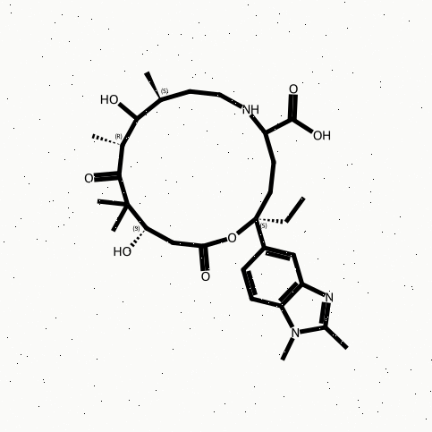 CC[C@@]1(c2ccc3c(c2)nc(C)n3C)CCC(C(=O)O)NCC[C@H](C)C(O)[C@@H](C)C(=O)C(C)(C)[C@@H](O)CC(=O)O1